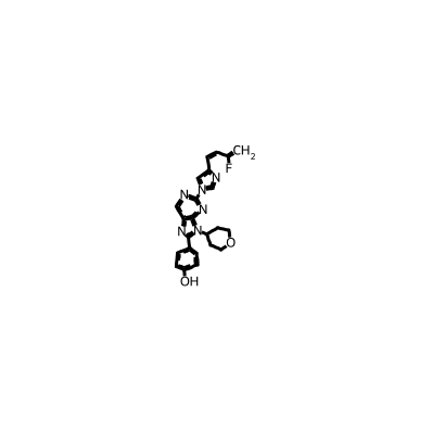 C=C(F)/C=C\c1cn(-c2ncc3nc(-c4ccc(O)cc4)n(C4CCOCC4)c3n2)cn1